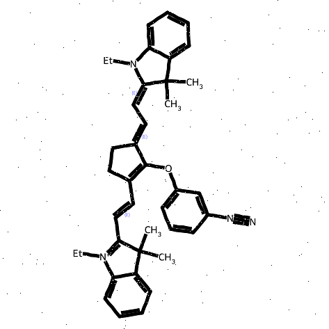 CCN1/C(=C/C=C2\CCC(/C=C/C3=[N+](CC)c4ccccc4C3(C)C)=C2Oc2cccc([N+]#N)c2)C(C)(C)c2ccccc21